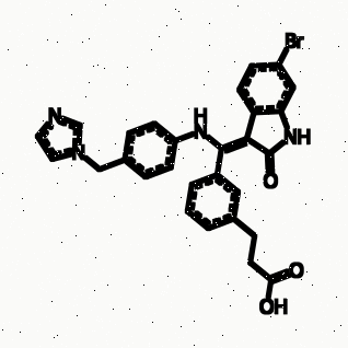 O=C(O)CCc1cccc(C(Nc2ccc(Cn3ccnc3)cc2)=C2C(=O)Nc3cc(Br)ccc32)c1